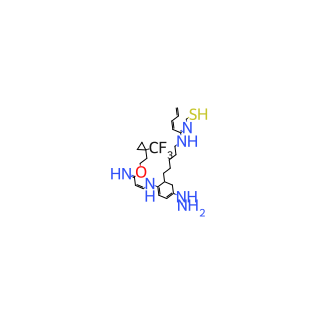 C=C/C=C\C(=N/CS)NCCCCCC1CC(NN)=CC=C1N/C=C\C(=N)OCCC1(C(F)(F)F)CC1